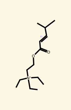 CC[N+](CC)(CC)CCOC(=O)/C=C/C(C)C